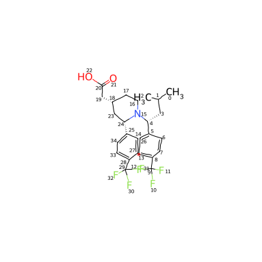 CC(C)C[C@H](c1ccc(C(F)(F)F)cc1)N1CC[C@@H](CC(=O)O)C[C@H]1c1ccc(C(F)(F)F)cc1